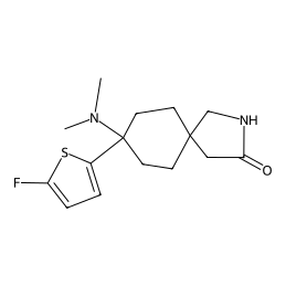 CN(C)C1(c2ccc(F)s2)CCC2(CC1)CNC(=O)C2